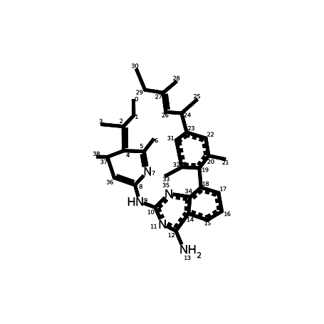 CC/C(C)=C1\C(C)=NC(Nc2nc(N)c3cccc(-c4c(C)cc(C(C)/C=C(\C)CC)cc4C)c3n2)=CC1C